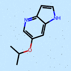 CC(C)Oc1cnc2cc[nH]c2c1